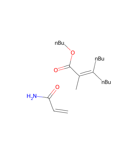 C=CC(N)=O.CCCCOC(=O)C(C)=C(CCCC)CCCC